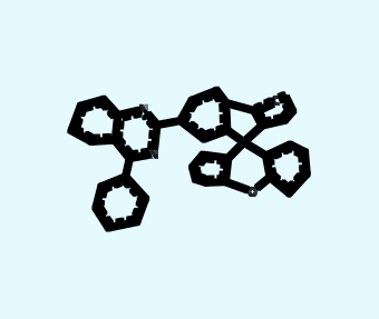 c1ccc(-c2nc(-c3ccc4c(c3)C3(c5ccccc5Oc5ccccc53)c3ccccc3-4)nc3ccccc23)cc1